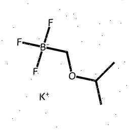 CC(C)OC[B-](F)(F)F.[K+]